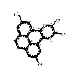 Cc1cc2ccc3cc(C)cc4c5nc(C#N)c(C#N)nc5c(c1)c2c34